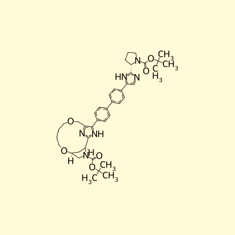 CC(C)(C)OC(=O)N1CCC[C@H]1c1ncc(-c2ccc(-c3ccc(-c4[nH]c5nc4COCCCCO[C@H]4C[C@@H]5N(C(=O)OC(C)(C)C)C4)cc3)cc2)[nH]1